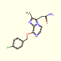 Cc1nc2c(OCc3ccc(F)cc3)nccn2c1CC(N)=S